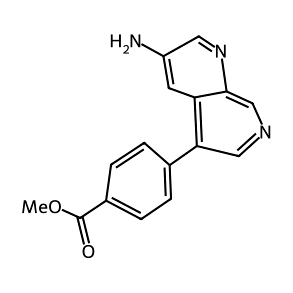 COC(=O)c1ccc(-c2cncc3ncc(N)cc23)cc1